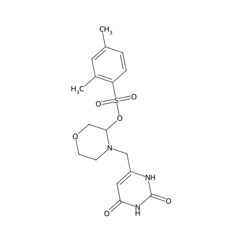 Cc1ccc(S(=O)(=O)OC2COCCN2Cc2cc(=O)[nH]c(=O)[nH]2)c(C)c1